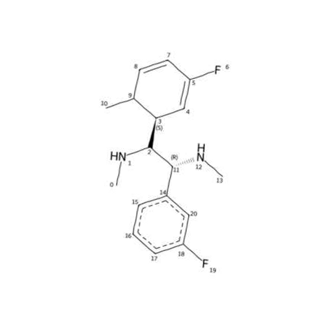 CNC([C@@H]1C=C(F)C=CC1C)[C@H](NC)c1cccc(F)c1